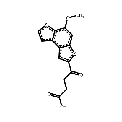 COc1cc2sc(C(=O)CCC(=O)O)cc2c2ccsc12